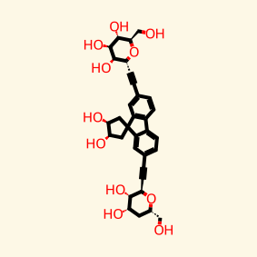 OC[C@@H]1C[C@H](O)[C@H](O)[C@@H](C#Cc2ccc3c(c2)C2(C[C@@H](O)[C@@H](O)C2)c2cc(C#C[C@H]4O[C@H](CO)[C@@H](O)[C@H](O)[C@@H]4O)ccc2-3)O1